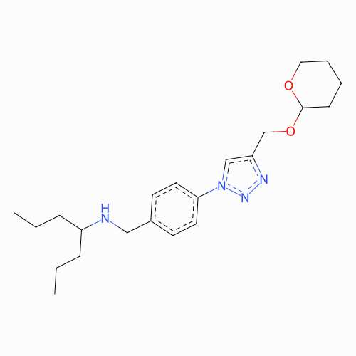 CCCC(CCC)NCc1ccc(-n2cc(COC3CCCCO3)nn2)cc1